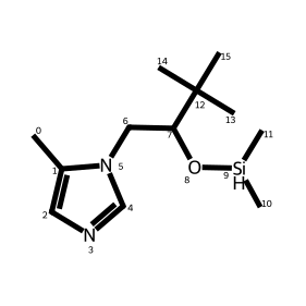 Cc1cncn1CC(O[SiH](C)C)C(C)(C)C